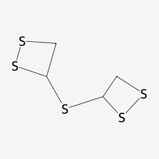 C1SSC1SC1CSS1